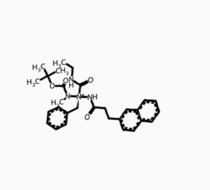 CCNC(=O)[N@+](Cc1ccccc1)(NC(=O)CCc1ccc2ccccc2c1)N(C)C(=O)OC(C)(C)C